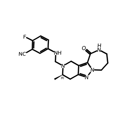 C[C@@H]1Cc2nn3c(c2CN1CNc1ccc(F)c(C#N)c1)C(=O)NCCC3